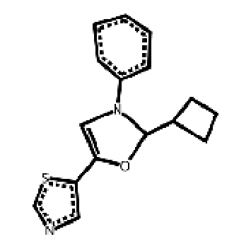 [C]1=C(c2cncs2)OC(C2CCC2)N1c1ccccc1